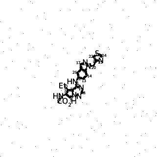 CCc1c(NC(=O)O)cn2ncnc(Nc3ccc4c(cnn4Cc4cscn4)c3)c12